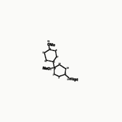 CCCCCCCC1CCC(OC)(C2CCC(OC)CC2)CC1